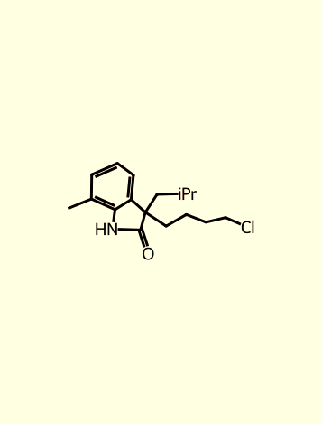 Cc1cccc2c1NC(=O)C2(CCCCCl)CC(C)C